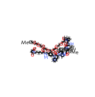 CC[C@H](C)[C@@H]([C@@H](CC(=O)N1CCC[C@H]1[C@H](OC)[C@@H](C)C(=O)N[C@@H](Cc1ccccc1)C(=O)Nc1ccc(CNC(=O)CCCCCN2C(=O)C=CC2=O)cc1)OC)N(C)C(=O)[C@@H](NC(=O)C1C2CC[C@@H](C2)N1C(=O)CCOCCOCCOCCOCCOCCOCCOCCOC)C(C)C